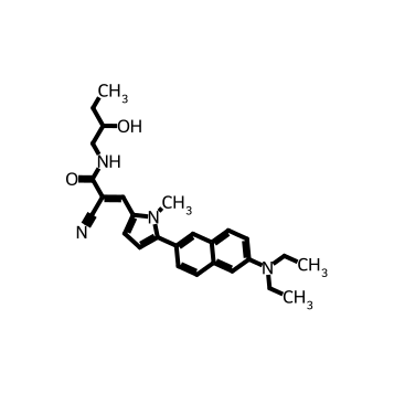 CCC(O)CNC(=O)/C(C#N)=C/c1ccc(-c2ccc3cc(N(CC)CC)ccc3c2)n1C